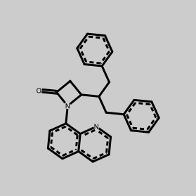 O=C1CC(C(Cc2ccccc2)Cc2ccccc2)N1c1cccc2cccnc12